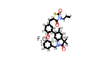 C=CCN1C(=O)SC(=Cc2ccc(OC(F)(F)F)c(-c3cc4c(cc3C)C(C)(C)C(=O)N4Cc3ccccc3)c2)C1=O